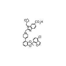 CC1(c2ccc(Cl)c3ccoc23)Oc2cccc(C3=CCN(Cc4nc5ccc(C(=O)O)cc5n4C[C@@H]4CCO4)CC3)c2O1